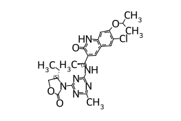 CC[C@H]1COC(=O)N1c1nc(C)nc(N[C@@H](C)c2cc3cc(Cl)c(OC(C)C)cc3[nH]c2=O)n1